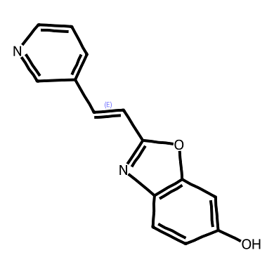 Oc1ccc2nc(/C=C/c3cccnc3)oc2c1